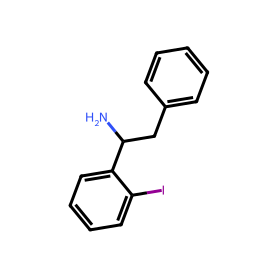 NC(Cc1ccccc1)c1ccccc1I